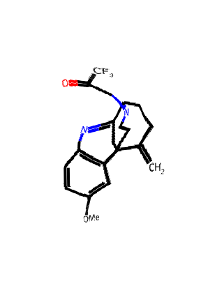 C=C1CCC2C3=Nc4ccc(OC)cc4C13CCN2C(=O)C(F)(F)F